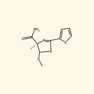 COC1SC(c2cccs2)=N[C@]1(C)C(N)=O